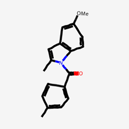 COc1ccc2c(c1)cc(C)n2C(=O)c1ccc(C)cc1